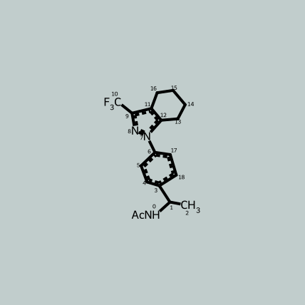 CC(=O)NC(C)c1ccc(-n2nc(C(F)(F)F)c3c2CCCC3)cc1